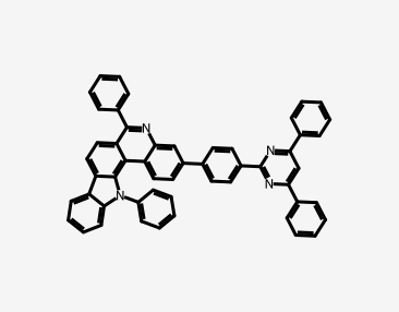 c1ccc(-c2cc(-c3ccccc3)nc(-c3ccc(-c4ccc5c(c4)nc(-c4ccccc4)c4ccc6c7ccccc7n(-c7ccccc7)c6c45)cc3)n2)cc1